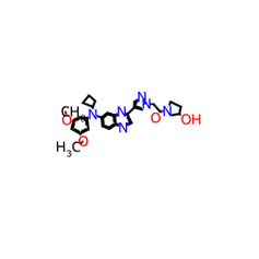 COc1cc(OC)cc(N(c2ccc3ncc(-c4cnn(CC(=O)N5CCC(O)C5)c4)nc3c2)C2CCC2)c1